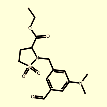 CCOC(=O)C1CCS(=O)(=O)N1Cc1cc(C=O)cc(N(C)C)c1